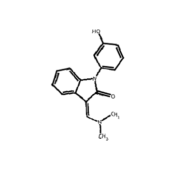 CN(C)C=C1C(=O)N(c2cccc(O)c2)c2ccccc21